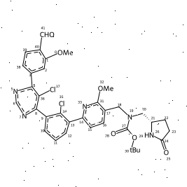 COc1cc(-c2ncnc(-c3cccc(-c4ccc(CN(C[C@@H]5CCC(=O)N5)C(=O)OC(C)(C)C)c(OC)n4)c3Cl)c2Cl)ccc1C=O